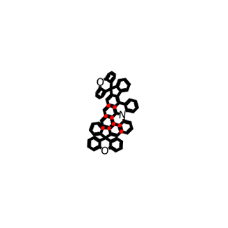 c1ccc(-c2ccccc2N(c2ccccc2-c2cccc3c2-c2ccccc2C32c3ccccc3Oc3ccccc32)c2ccccc2-c2cccc3c2-c2ccccc2C32c3ccccc3Oc3ccccc32)cc1